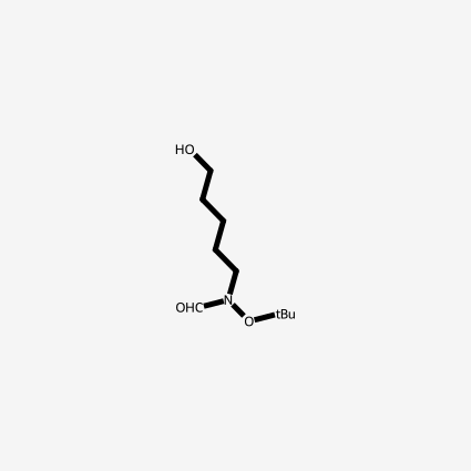 CC(C)(C)ON(C=O)CCCCCO